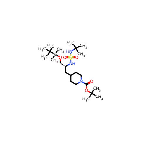 CC(C)(C)NS(=O)(=O)N[C@@H](CO[Si](C)(C)C(C)(C)C)CC1CCN(C(=O)OC(C)(C)C)CC1